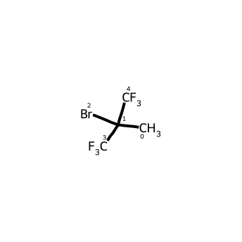 CC(Br)(C(F)(F)F)C(F)(F)F